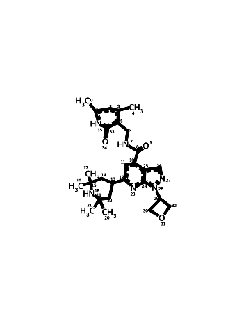 Cc1cc(C)c(CNC(=O)c2cc(C3CC(C)(C)NC(C)(C)C3)nc3c2cnn3C2COC2)c(=O)[nH]1